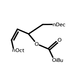 CCCCCCCC/C=C\C(CCCCCCCCCCC)OC(=O)OCC(C)C